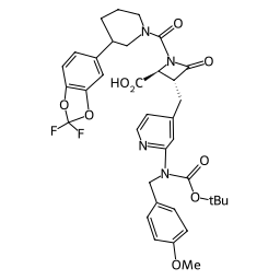 COc1ccc(CN(C(=O)OC(C)(C)C)c2cc(C[C@H]3C(=O)N(C(=O)N4CCCC(c5ccc6c(c5)OC(F)(F)O6)C4)[C@@H]3C(=O)O)ccn2)cc1